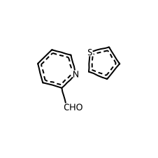 O=Cc1ccccn1.c1ccsc1